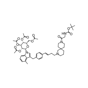 CC(=O)OC[C@H]1O[C@@H](n2cc(Cc3ccc(C=CCCN4CCCC5(CCN(C(=O)CNC(=O)OC(C)(C)C)CC5)C4)cc3)c3c(C)cccc32)[C@H](OC(C)=O)[C@@H](OC(C)=O)[C@@H]1OC(C)=O